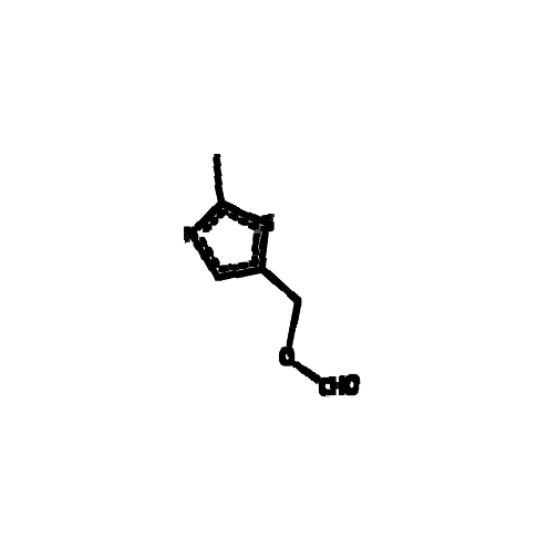 Cc1ncc(COC=O)s1